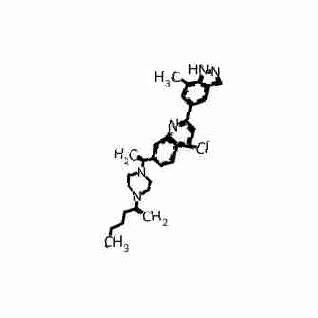 C=C(CCCC)N1CCN(C(=C)c2ccc3c(Cl)cc(-c4cc(C)c5[nH]ncc5c4)nc3c2)CC1